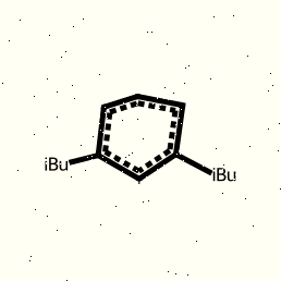 CCC(C)c1[c]c(C(C)CC)ccc1